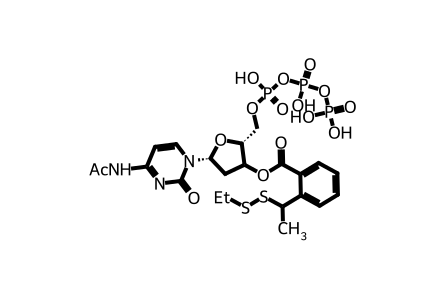 CCSSC(C)c1ccccc1C(=O)OC1C[C@H](n2ccc(NC(C)=O)nc2=O)O[C@@H]1COP(=O)(O)OP(=O)(O)OP(=O)(O)O